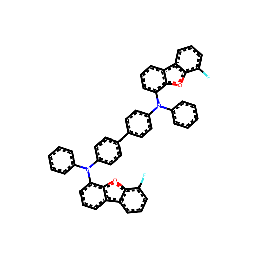 Fc1cccc2c1oc1c(N(c3ccccc3)c3ccc(-c4ccc(N(c5ccccc5)c5cccc6c5oc5c(F)cccc56)cc4)cc3)cccc12